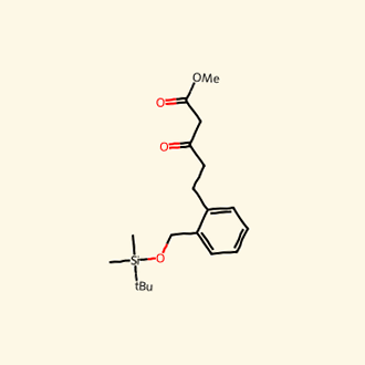 COC(=O)CC(=O)CCc1ccccc1CO[Si](C)(C)C(C)(C)C